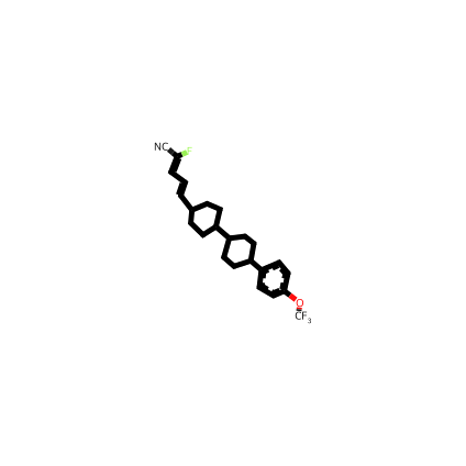 N#CC(F)=CC=CC1CCC(C2CCC(c3ccc(OC(F)(F)F)cc3)CC2)CC1